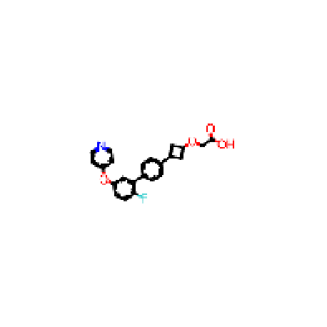 O=C(O)COC1CC(c2ccc(-c3cc(Oc4ccncc4)ccc3F)cc2)C1